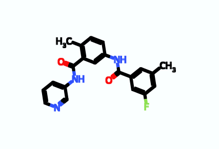 Cc1cc(F)cc(C(=O)Nc2ccc(C)c(C(=O)Nc3cccnc3)c2)c1